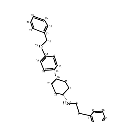 c1ccc(CCN[C@H]2CC[C@@H](c3ccc(OCc4ccccc4)cc3)CC2)cc1